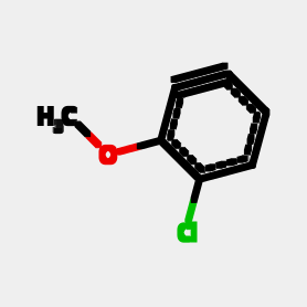 COc1c#cccc1Cl